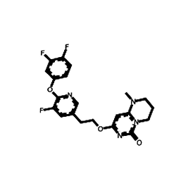 CN1CCCn2c1cc(OCCc1cnc(Oc3ccc(F)c(F)c3)c(F)c1)nc2=O